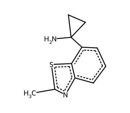 Cc1nc2cccc(C3(N)CC3)c2s1